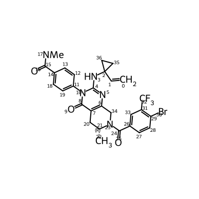 C=CC1(Nc2nc3c(c(=O)n2-c2ccc(C(=O)NC)cc2)C[C@@H](C)N(C(=O)c2ccc(Br)c(C(F)(F)F)c2)C3)CC1